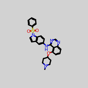 CN1CCC(Oc2cccc3ncnc(Nc4ccc5c(ccn5S(=O)(=O)c5ccccc5)c4)c23)CC1